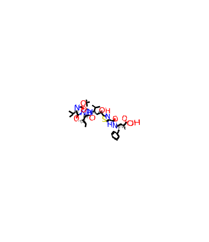 CC[C@H](C)[C@H](NC(=O)[C@@H](C(C)C)N(C)C(=O)OC(C)(C)C)C(=O)N(C)[C@H](C[C@@H](O)c1nc(C(=O)N[C@@H](Cc2ccccc2)C[C@H](C)C(=O)O)cs1)C(C)C